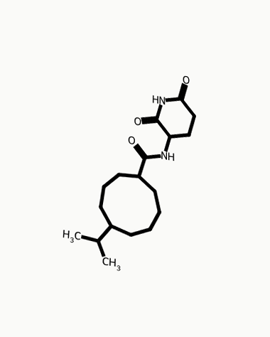 CC(C)C1CCCCC(C(=O)NC2CCC(=O)NC2=O)CCC1